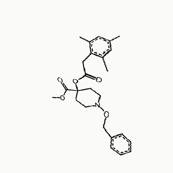 COC(=O)C1(OC(=O)Cc2c(C)cc(C)cc2C)CCN(OCc2ccccc2)CC1